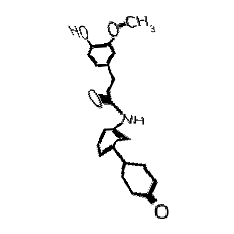 COc1cc(CC(=O)Nc2cccc(C3CCC(=O)CC3)c2)ccc1O